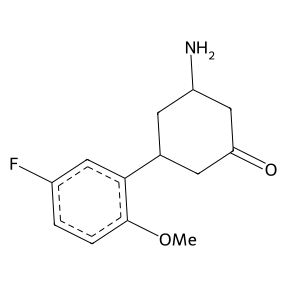 COc1ccc(F)cc1C1CC(=O)CC(N)C1